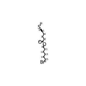 O=C(CCCC#CSI)OCCCCCCBr